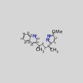 COc1ccc([C@@H](C)CC[C@H](C)c2cnc3ccccc3c2)nn1